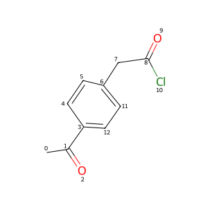 CC(=O)c1ccc(CC(=O)Cl)cc1